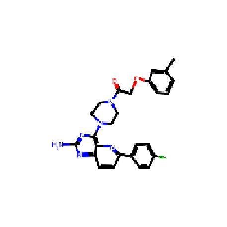 Cc1cccc(OCC(=O)N2CCN(c3nc(N)nc4ccc(-c5ccc(F)cc5)nc34)CC2)c1